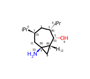 CC(C)[C@H]1C[C@H](C(C)C)[C@H](O)[C@@H]2C[C@]2(N)C1